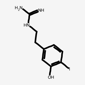 N=C(N)NCCc1ccc(I)c(O)c1